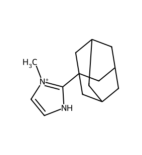 C[n+]1cc[nH]c1C12CC3CC(CC(C3)C1)C2